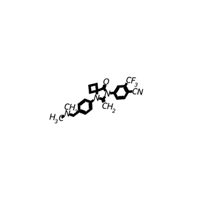 C=C1N(c2ccc(C#N)c(C(F)(F)F)c2)C(=O)C2(CCC2)N1c1ccc(CN(C)C)cc1